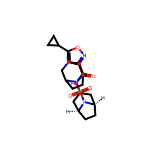 O=C(N[C@H]1C[C@H]2CC[C@@H](C1)N2S(=O)(=O)N1C2CCC1CNC2)c1cc(C2CC2)on1